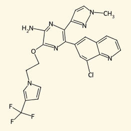 Cn1ccc(-c2nc(N)c(OCCn3ccc(C(F)(F)F)c3)nc2-c2cc(Cl)c3ncccc3c2)n1